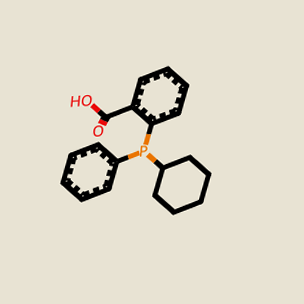 O=C(O)c1ccccc1P(c1ccccc1)C1CCCCC1